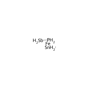 [Fe].[PH2][SbH2].[SnH2]